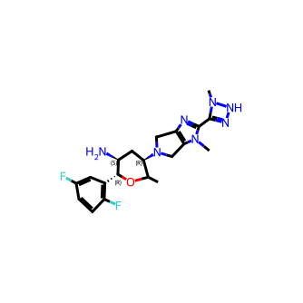 CC1O[C@H](c2cc(F)ccc2F)[C@@H](N)C[C@H]1N1Cc2nc(-c3n[nH]n3C)n(C)c2C1